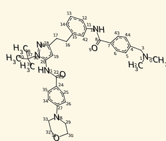 CN(C)Cc1ccc(C(=O)Nc2cccc(CCc3cc(NC(=O)c4ccc(N5CCOCC5)cc4)n(C(C)(C)C)n3)c2)cc1